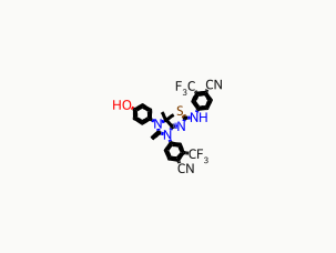 C=C1N(c2ccc(C#N)c(C(F)(F)F)c2)/C(=N/C(=S)Nc2ccc(C#N)c(C(F)(F)F)c2)C(C)(C)N1c1ccc(O)cc1